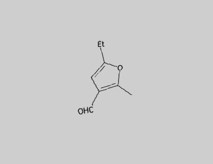 CCc1cc(C=O)c(C)o1